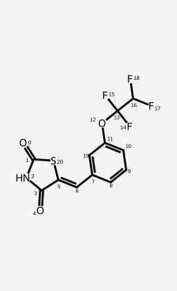 O=C1NC(=O)C(=Cc2cccc(OC(F)(F)C(F)F)c2)S1